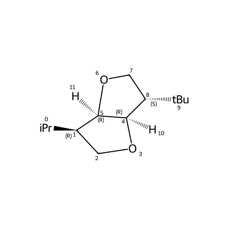 CC(C)[C@@H]1CO[C@H]2[C@@H]1OC[C@@H]2C(C)(C)C